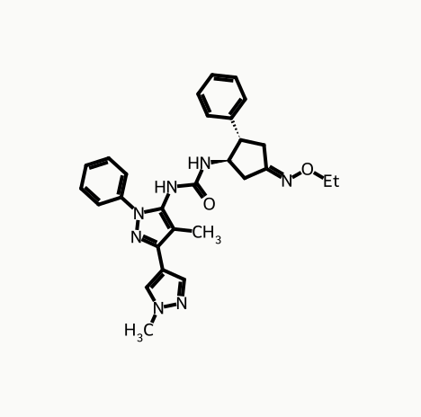 CCO/N=C1/C[C@@H](NC(=O)Nc2c(C)c(-c3cnn(C)c3)nn2-c2ccccc2)[C@H](c2ccccc2)C1